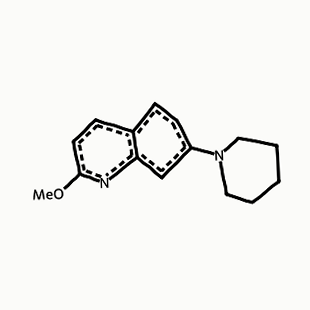 COc1ccc2ccc(N3CCCCC3)cc2n1